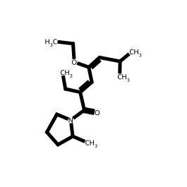 CCOC(=C/C(C)C)/C=C(\CC)C(=O)N1CCCC1C